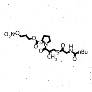 CCCCC(=O)NCC(=O)SC[C@@H](C)C(=O)N1CCC[C@H]1C(=O)OCCCO[N+](=O)[O-]